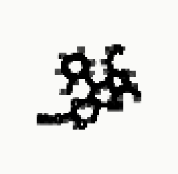 COC(=O)OC1=C(C)Nc2c(c(CC(C)C)nn2C)C1c1ccccc1C